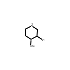 CCCCN1CCNCC1CC